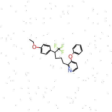 CCOc1ccc(C(CCCc2ncccc2Oc2ccccc2)C(F)(F)F)cc1